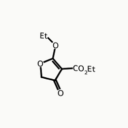 CCOC(=O)C1=C(OCC)OCC1=O